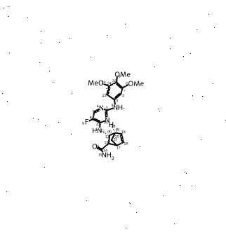 COc1cc(Nc2ncc(F)c(N[C@H]3C(C(N)=O)C4C=C[C@H]3C4)n2)cc(OC)c1OC